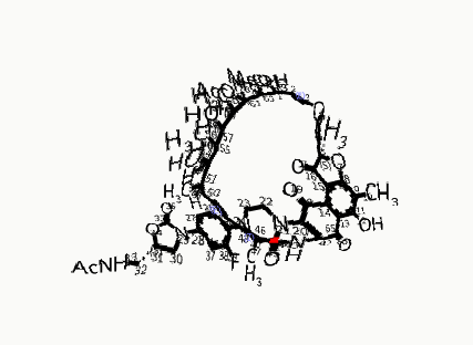 CO[C@H]1/C=C/O[C@@]2(C)Oc3c(C)c(O)c4c(c3C2=O)C(=O)C(N2CCN(c3ccc(N5C[C@H](CNC(C)=O)OC5=O)cc3F)CC2)=C(NC(=O)/C(C)=C\C=C\[C@H](C)[C@H](O)[C@@H](C)[C@@H](O)[C@@H](C)[C@H](OC(C)=O)[C@@H]1C)C4=O